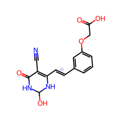 N#CC1=C(/C=C/c2cccc(OCC(=O)O)c2)NC(O)NC1=O